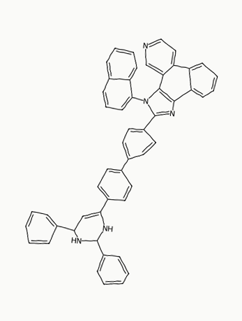 C1=C(c2ccc(-c3ccc(-c4nc5c6ccccc6c6ccncc6c5n4-c4cccc5ccccc45)cc3)cc2)NC(c2ccccc2)NC1c1ccccc1